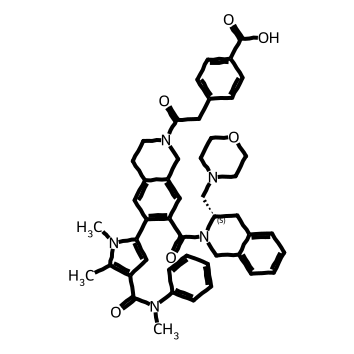 Cc1c(C(=O)N(C)c2ccccc2)cc(-c2cc3c(cc2C(=O)N2Cc4ccccc4C[C@H]2CN2CCOCC2)CN(C(=O)Cc2ccc(C(=O)O)cc2)CC3)n1C